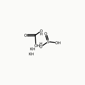 O=C(O)O.O=S(O)O.[KH].[KH]